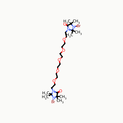 CC1(C)C(=O)N(CCOCCOCCOCCOCCOCCN2C(=O)C(C)(C)N(Br)C2(C)C)C(C)(C)N1Br